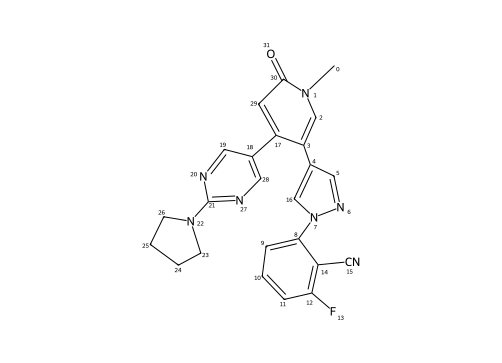 Cn1cc(-c2cnn(-c3cccc(F)c3C#N)c2)c(-c2cnc(N3CCCC3)nc2)cc1=O